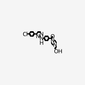 O=C(c1ccc(Nc2nccc(-c3ccc(Cl)cc3)n2)cc1)N1CCN(C=CO)CC1